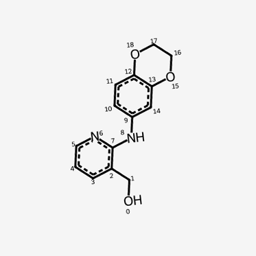 OCc1cccnc1Nc1ccc2c(c1)OCCO2